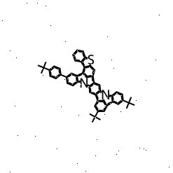 CC(C)(C)c1ccc(-c2ccc3c(c2)c2c4c(cc5c6cc7c(cc6n3c52)c2cc(C(C)(C)C)cc3c5cc(C(C)(C)C)ccc5n7c32)sc2ccccc24)cc1